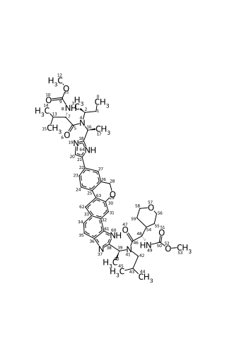 CC[C@H](C)N(C(=O)[C@@H](NC(=O)OC)C(C)C)[C@@H](C)c1ncc(-c2ccc3c(c2)COc2cc4c(ccc5nc([C@H](C)N(CC(C)C)C(=O)[C@@H](NC(=O)OC)C6CCOCC6)[nH]c54)cc2-3)[nH]1